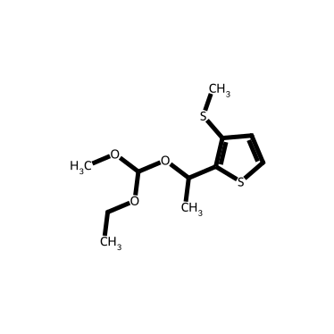 CCOC(OC)OC(C)c1sccc1SC